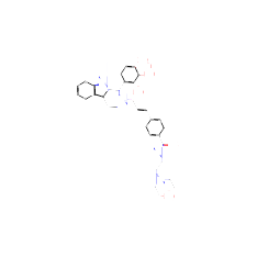 O=C(NCCN1CCOCC1)c1ccc(/C=C/C(=O)N2CCc3c([nH]c4ccccc34)C2c2ccc3c(c2)OCO3)cc1